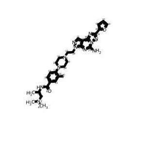 CC(CN(C)C)NC(=O)c1ccc(N2CCN(CCn3ncc4c3nc(N)n3nc(-c5ccco5)nc43)CC2)c(F)c1